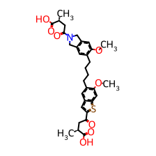 COc1cc2c(cc1CCCCc1cc3cc(C(=O)C[C@H](C)C(=O)O)sc3cc1OC)CN(C(=O)C[C@H](C)C(=O)O)C2